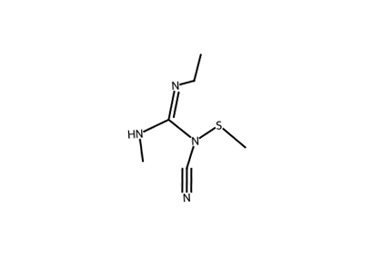 CCN=C(NC)N(C#N)SC